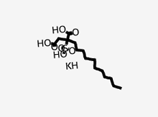 CCCCCCCCCCCC(CC(=O)O)(C(=O)O)S(=O)(=O)O.[KH]